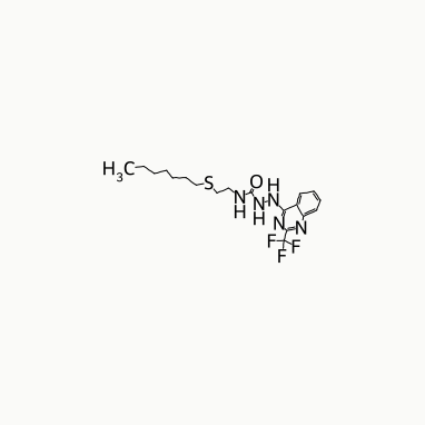 CCCCCCCSCCNC(=O)NNc1nc(C(F)(F)F)nc2ccccc12